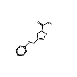 NC(=O)C1CC(COc2ccccc2)=NO1